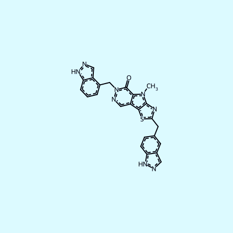 Cn1c2nc(Cc3ccc4[nH]ncc4c3)sc2c2cnn(Cc3cccc4[nH]ncc34)c(=O)c21